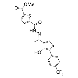 COC(=O)c1ccc(C(=O)N/N=C(\C)c2csc(-c3ccc(C(F)(F)F)cc3)c2O)s1